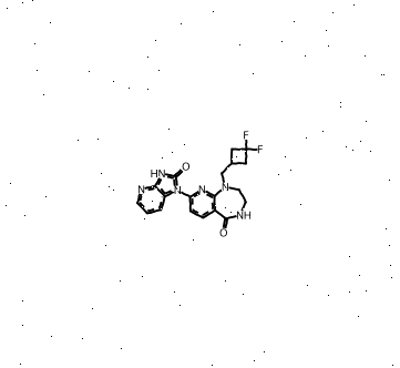 O=C1NCCN(CC2CC(F)(F)C2)c2nc(-n3c(=O)[nH]c4ncccc43)ccc21